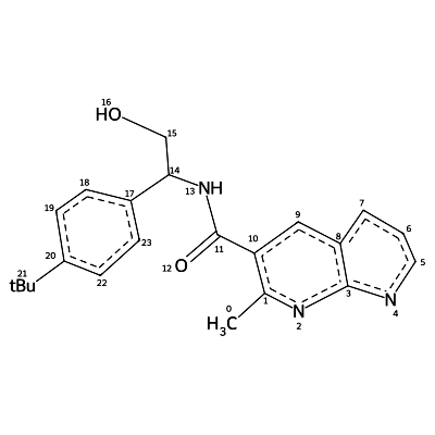 Cc1nc2ncccc2cc1C(=O)NC(CO)c1ccc(C(C)(C)C)cc1